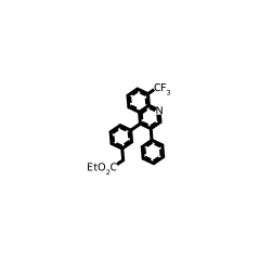 CCOC(=O)Cc1cccc(-c2c(-c3ccccc3)cnc3c(C(F)(F)F)cccc23)c1